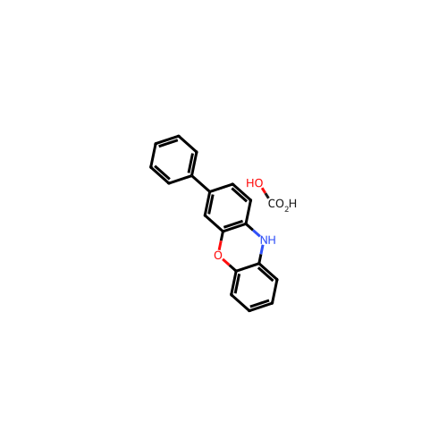 O=C(O)O.c1ccc(-c2ccc3c(c2)Oc2ccccc2N3)cc1